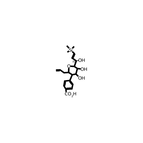 C=CCC1OC([C@@H](O)C=C[Si](C)(C)C)C(O)C(O)C1c1ccc(C(=O)O)cc1